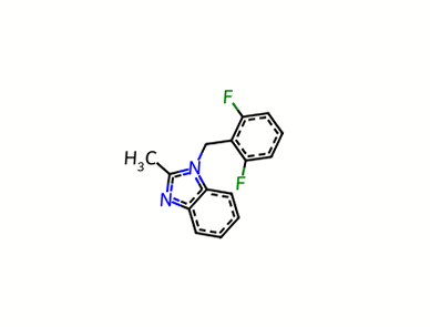 Cc1nc2ccccc2n1Cc1c(F)cccc1F